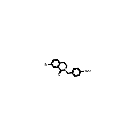 COc1ccc(CN2CCc3ccc(Br)cc3C2=O)cc1